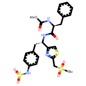 COC(=O)N[C@@H](Cc1ccccc1)C(=O)N[C@@H](Cc1ccc(N[SH](=O)=O)cc1)c1csc(CS(=O)(=O)C(C)(C)C)n1